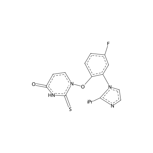 CC(C)c1nccn1-c1cc(F)ccc1On1ccc(=O)[nH]c1=S